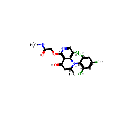 CNC(=O)COc1ncc(Cl)c2c1c(=O)cc(C)n2-c1c(Cl)cc(F)cc1Cl